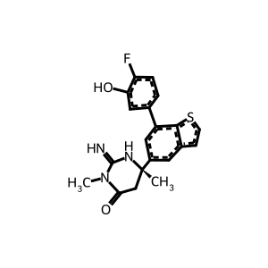 CN1C(=N)N[C@](C)(c2cc(-c3ccc(F)c(O)c3)c3sccc3c2)CC1=O